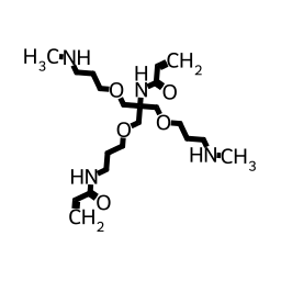 C=CC(=O)NCCCOCC(COCCCNC)(COCCCNC)NC(=O)C=C